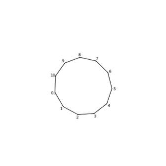 [CH]1CCCCCCCCCC1